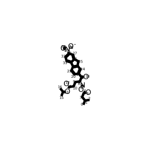 CC(C)CC(=O)O/N=C(\CCC(=O)OC(C)C)C(=O)c1ccc2c(c1)Cc1cc([N+](=O)[O-])ccc1-2